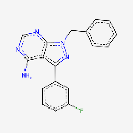 Nc1ncnc2c1c(-c1cccc(F)c1)nn2Cc1ccccc1